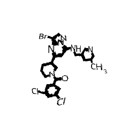 CC1C=C(CNc2cc(C3CCCN(C(=O)c4cc(Cl)cc(Cl)c4)C3)nc3c(Br)cnn23)C=NC1